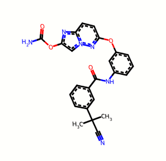 CC(C)(C#N)c1cccc(C(=O)Nc2cccc(Oc3ccc4nc(OC(N)=O)cn4n3)c2)c1